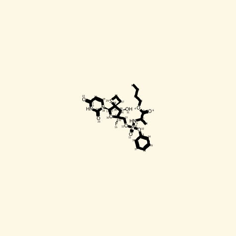 CCCCOC(=O)C(C)NP(=O)(OC[C@@]1(F)O[C@@H](n2ccc(=O)[nH]c2=O)[C@@]2(CCS2)[C@@H]1O)Oc1ccccc1